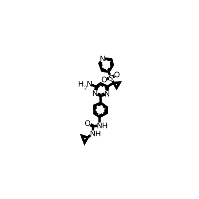 Nc1cc(C2(S(=O)(=O)c3ccncc3)CC2)nc(-c2ccc(NC(=O)NC3CC3)cc2)n1